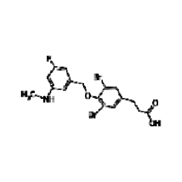 CNc1cc(F)cc(COc2c(Br)cc(CCC(=O)O)cc2Br)c1